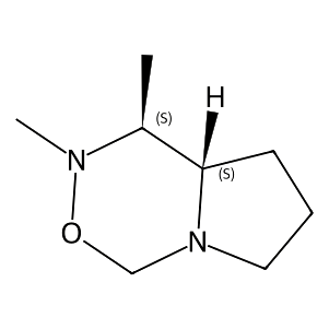 C[C@H]1[C@@H]2CCCN2CON1C